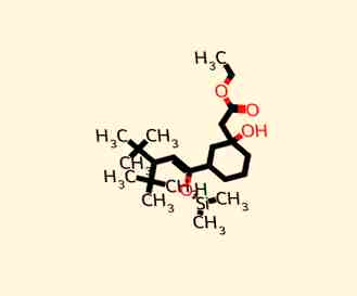 CCOC(=O)CC1(O)CCCC(C(=CC(C(C)(C)C)C(C)(C)C)O[SiH](C)C)C1